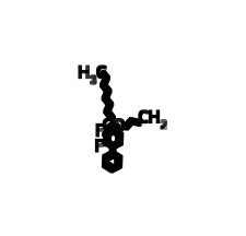 C=CCCOC1(OCCCCCCCC)C=CC(c2ccccc2)C(F)=C1F